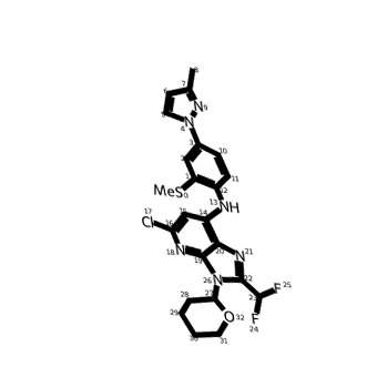 CSc1cc(-n2ccc(C)n2)ccc1Nc1cc(Cl)nc2c1nc(C(F)F)n2C1CCCCO1